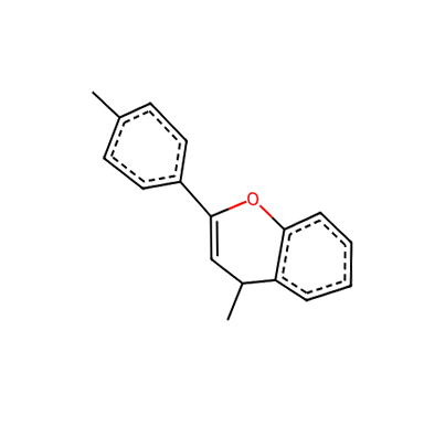 Cc1ccc(C2=CC(C)c3ccccc3O2)cc1